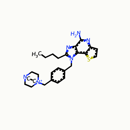 CCCCc1nc2c(N)nc3ccsc3c2n1Cc1ccc(C[N+]23CCN(CC2)CC3)cc1